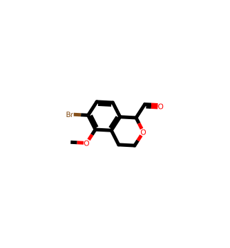 COc1c(Br)ccc2c1CCOC2C=O